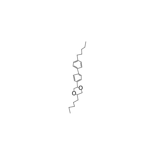 CCCCCc1ccc(-c2ccc(C3COC(CCCCC)CO3)cc2)cc1